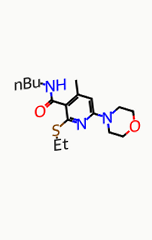 CCCCNC(=O)c1c(C)cc(N2CCOCC2)nc1SCC